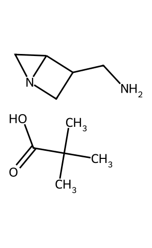 CC(C)(C)C(=O)O.NCC1CN2CC12